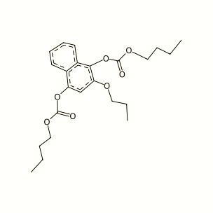 CCCCOC(=O)Oc1cc(OCCC)c(OC(=O)OCCCC)c2ccccc12